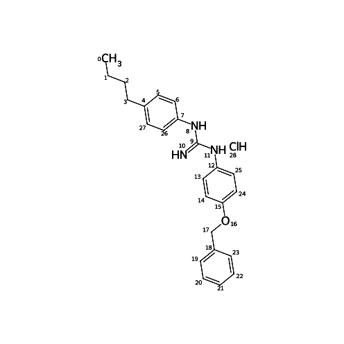 CCCCc1ccc(NC(=N)Nc2ccc(OCc3ccccc3)cc2)cc1.Cl